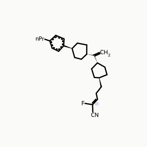 C=C([C@H]1CC[C@H](CC/C=C(\F)C#N)CC1)[C@H]1CC[C@H](c2ccc(CCC)cc2)CC1